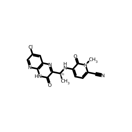 C[C@H](Nc1ccc(C#N)n(C)c1=O)c1nc2cc(Cl)cnc2[nH]c1=O